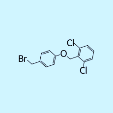 Clc1cccc(Cl)c1COc1ccc(CBr)cc1